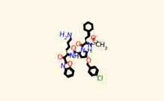 C[S+]([O-])N[C@H](CC=C1CCCCC1)C(=O)N1C[C@H](OCc2ccc(Cl)cc2)C[C@H]1C(=O)N[C@@H](CCCCN)C(=O)c1nc2ccccc2o1